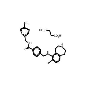 O=C(NCc1ccc(C(F)(F)F)cn1)c1ccc(CNc2c(Cl)ccc3c2CCNCC3)cc1.O=C(O)CCC(=O)O